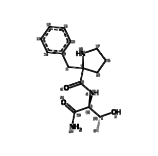 C[C@@H](O)[C@H](NC(=O)C1(Cc2ccccc2)CCCN1)C(N)=O